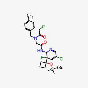 CC(C)(C)[Si](C)(C)OC1(C2(F)C=C(Cl)C=NC2NC(=O)CN(Cc2ccc(C(F)(F)F)cc2)C(=O)CCl)CCC1